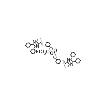 CCOC(=O)C(OC(=O)COc1cccc(CN2CCCc3nc(-c4ccccc4)c(-c4ccccc4)nc32)c1)Oc1cccc(CN2CCCc3nc(-c4ccccc4)c(-c4ccccc4)nc32)c1